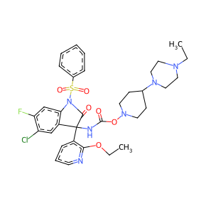 CCOc1ncccc1C1(NC(=O)ON2CCC(N3CCN(CC)CC3)CC2)C(=O)N(S(=O)(=O)c2ccccc2)c2cc(F)c(Cl)cc21